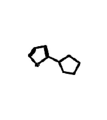 C1=C[N]C(C2CCCC2)=C1